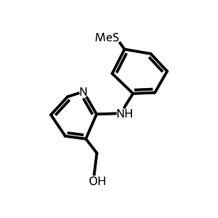 CSc1cccc(Nc2ncccc2CO)c1